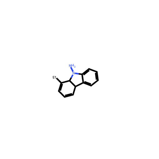 CCC1=CC=CC2c3ccccc3N(N)C12